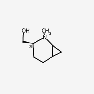 CN1C2CC2CC[C@H]1CO